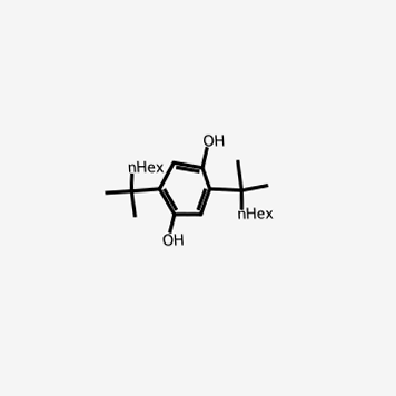 CCCCCCC(C)(C)c1cc(O)c(C(C)(C)CCCCCC)cc1O